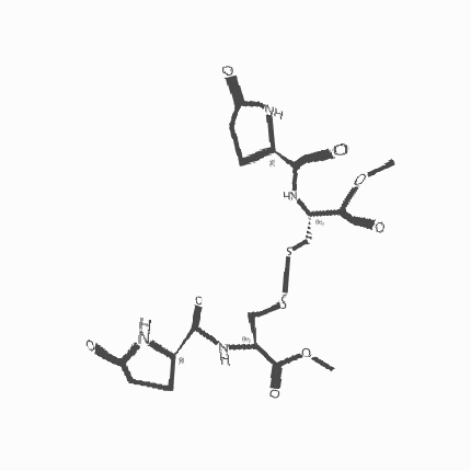 COC(=O)[C@H](CSSC[C@H](NC(=O)[C@H]1CCC(=O)N1)C(=O)OC)NC(=O)[C@H]1CCC(=O)N1